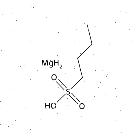 CCCCS(=O)(=O)O.[MgH2]